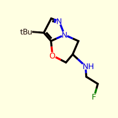 CC(C)(C)c1cnn2c1OCC(NCCF)C2